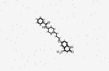 Cc1cc(=O)[nH]c2ccc(OCCCN3CCC(NC(=O)c4ccccc4)CC3)cc12